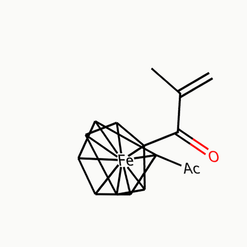 C=C(C)C(=O)[C]12[CH]3[CH]4[CH]5[CH]1[Fe]45321678[CH]2[CH]1[CH]6[C]7(C(C)=O)[CH]28